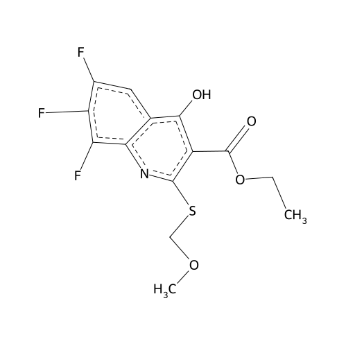 CCOC(=O)c1c(SCOC)nc2c(F)c(F)c(F)cc2c1O